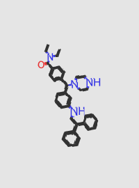 CCN(CC)C(=O)c1ccc([C@H](c2cccc(NCC(c3ccccc3)c3ccccc3)c2)N2CCNCC2)cc1